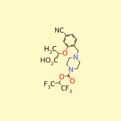 C[C@@H](Oc1cc(C#N)ccc1CN1CCN(C(=O)OC(C(F)(F)F)C(F)(F)F)CC1)C(=O)O